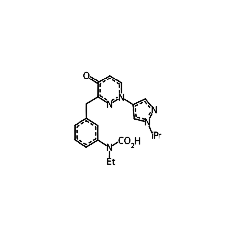 CCN(C(=O)O)c1cccc(Cc2nn(-c3cnn(C(C)C)c3)ccc2=O)c1